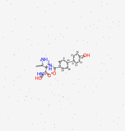 C=C(N)[C@H](NC(=O)c1ccc(-c2ccc(O)cc2)cc1)C(=O)NO